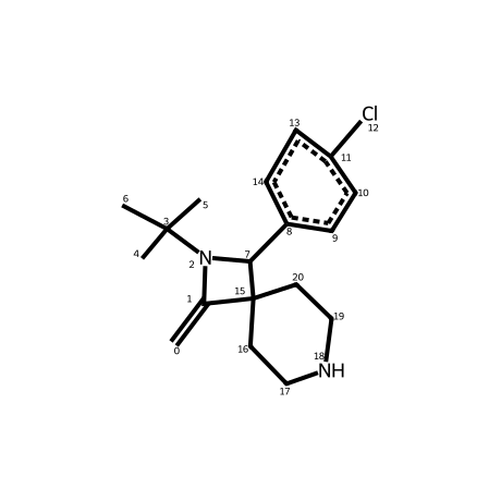 C=C1N(C(C)(C)C)C(c2ccc(Cl)cc2)C12CCNCC2